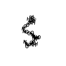 Cc1ccc(Nc2c(C(=O)NOCCOCCOCCN(C)CCN(C)CCOCCOCCC(=O)N3CCN(c4nc(-c5ccc(NC(=O)Nc6ccc(C(=O)N7CCC(N(C)C)CC7)cc6)cc5)nc(N5CCOCC5)n4)CC3)ccc(F)c2F)c(F)c1